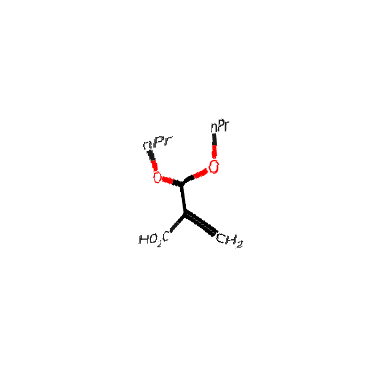 C=C(C(=O)O)C(OCCC)OCCC